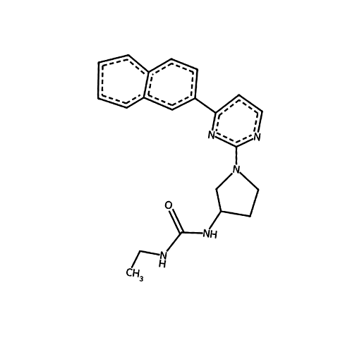 CCNC(=O)NC1CCN(c2nccc(-c3ccc4ccccc4c3)n2)C1